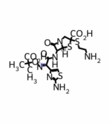 CC(C)(O/N=C(\C(=O)NC1C(=O)N2CC(SCCN)(C(=O)O)S[C@H]12)c1csc(N)n1)C(=O)O